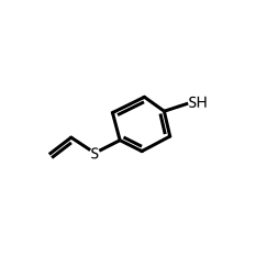 C=CSc1ccc(S)cc1